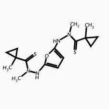 CN(Nc1ccc(NN(C)C(=S)C2(C)CC2)o1)C(=S)C1(C)CC1